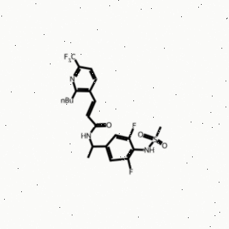 CCCCc1nc(C(F)(F)F)ccc1/C=C/C(=O)NC(C)c1cc(F)c(NS(C)(=O)=O)c(F)c1